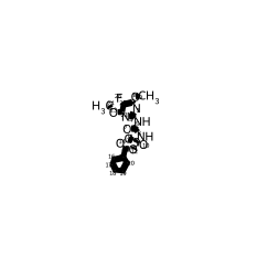 COc1nc(NC(=O)NS(=O)(=O)OC(=O)c2ccccc2)nc(OC)c1F